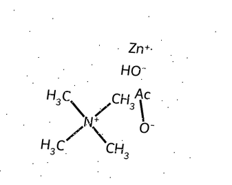 CC(=O)[O-].C[N+](C)(C)C.[OH-].[Zn+]